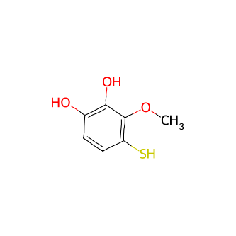 COc1c(S)ccc(O)c1O